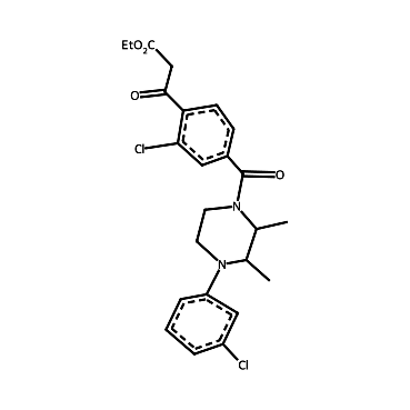 CCOC(=O)CC(=O)c1ccc(C(=O)N2CCN(c3cccc(Cl)c3)C(C)C2C)cc1Cl